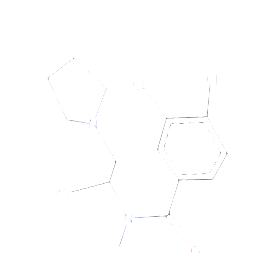 CC(C)C(CN1CCCC1)N(C)C(=O)c1ccc(Cl)c(Cl)c1